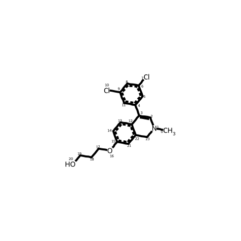 CN1C=C(c2cc(Cl)cc(Cl)c2)c2ccc(OCCCO)cc2C1